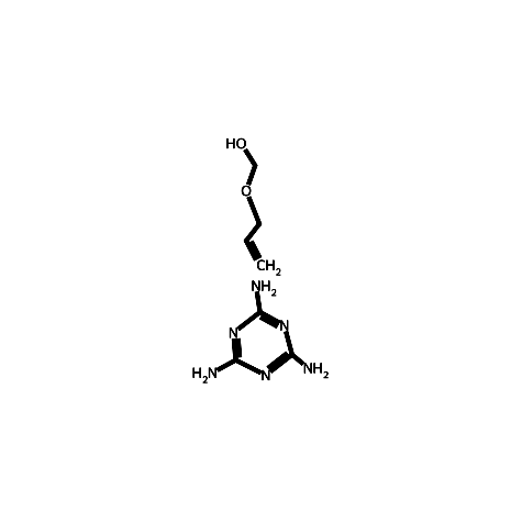 C=CCOCO.Nc1nc(N)nc(N)n1